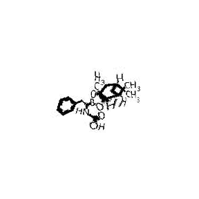 CC1(C)[C@H]2C[C@@H]1[C@@H]1OB([C@H](Cc3ccccc3)NC(=O)O)O[C@]1(C)C2